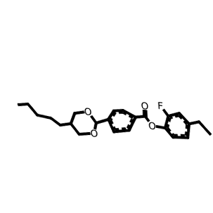 CCCCCC1COC(c2ccc(C(=O)Oc3ccc(CC)cc3F)cc2)OC1